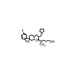 CN(CCCO)C(=O)C(CN1CCC2(CC1)OCc1ccc(F)cc12)CN1CCC=N1